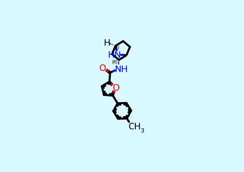 Cc1ccc(-c2ccc(C(=O)N[C@@H]3C[C@H]4CCC3N4)o2)cc1